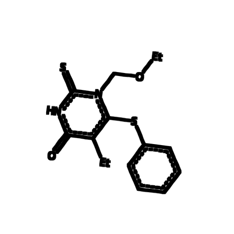 CCOCn1c(Sc2ccccc2)c(CC)c(=O)[nH]c1=S